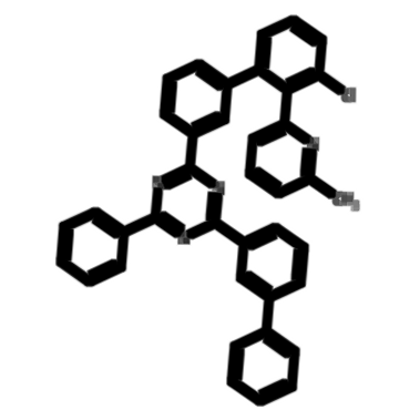 Cc1cccc(-c2c(Cl)cccc2-c2cccc(-c3nc(-c4ccccc4)nc(-c4cccc(-c5ccccc5)c4)n3)c2)n1